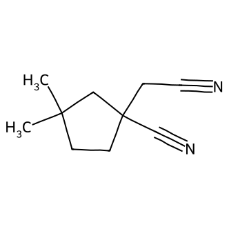 CC1(C)CCC(C#N)(CC#N)C1